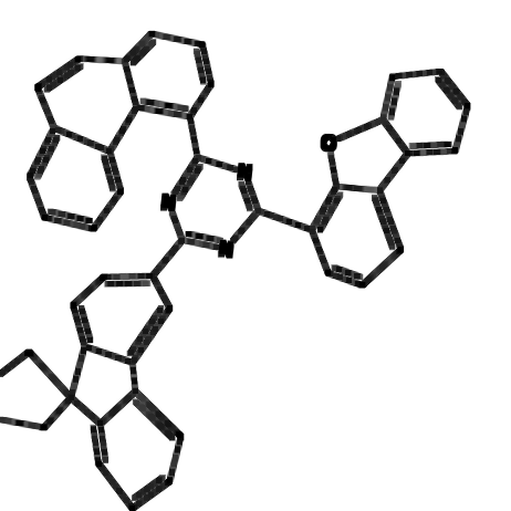 c1ccc2c(c1)-c1cc(-c3nc(-c4cccc5c4oc4ccccc45)nc(-c4cccc5ccc6ccccc6c45)n3)ccc1C21CCCC1